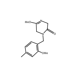 COC1=NCC(=O)N(Cc2ccc(C)cc2OC)C1